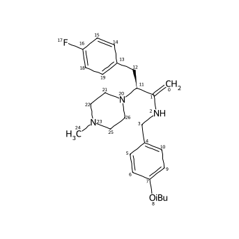 C=C(NCc1ccc(OCC(C)C)cc1)[C@H](Cc1ccc(F)cc1)N1CCN(C)CC1